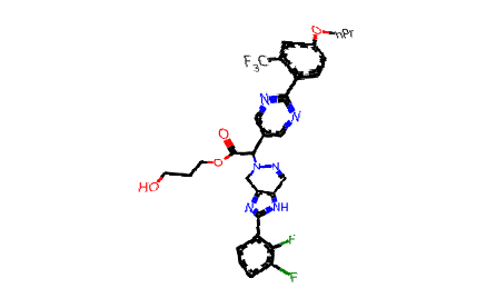 CCCOc1ccc(-c2ncc(C(C(=O)OCCCO)N3Cc4nc(-c5cccc(F)c5F)[nH]c4C=N3)cn2)c(C(F)(F)F)c1